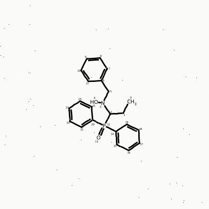 CCC(N(O)Cc1ccccc1)P(=O)(c1ccccc1)c1ccccc1